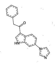 O=C(Cc1ccccc1)c1c[nH]c2cc(-n3ccnc3)ccc12